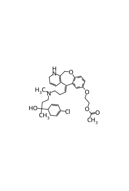 CC(=O)OCCOc1ccc2c(c1)/C(=C/CCN(C)CCC(C)(O)C1C=CC(Cl)=CC1)C1=C(CO2)NCC=C1